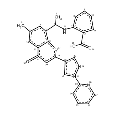 Cc1cc(C(C)Nc2ccccc2C(=O)O)c2oc(-c3cnn(-c4ccccn4)c3)cc(=O)c2c1